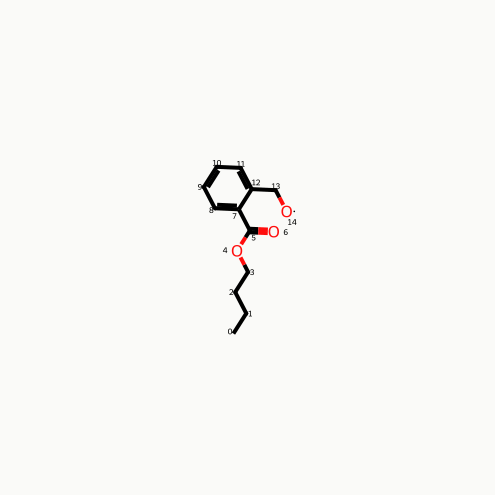 CCCCOC(=O)c1ccccc1C[O]